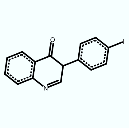 O=C1c2ccccc2N=CC1c1ccc(I)cc1